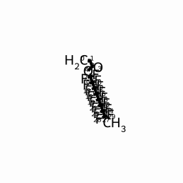 C=CC(=O)OC(F)(F)C(F)(F)C(F)(F)C(F)(F)C(F)(F)C(F)(F)C(F)(F)C(C)(F)F